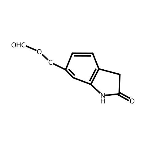 O=COCc1ccc2c(c1)NC(=O)C2